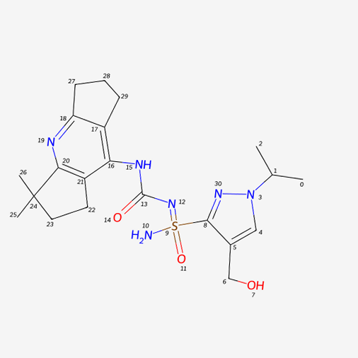 CC(C)n1cc(CO)c(S(N)(=O)=NC(=O)Nc2c3c(nc4c2CCC4(C)C)CCC3)n1